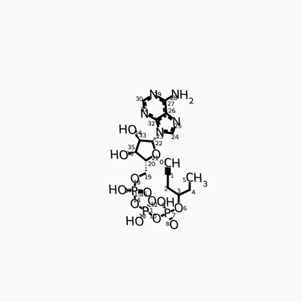 C#CCC(CC)OP(=O)(O)OP(=O)(O)OP(=O)(O)OC[C@H]1O[C@@H](n2cnc3c(N)ncnc32)[C@H](O)[C@@H]1O